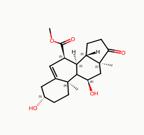 COC(=O)[C@@H]1C=C2C[C@@H](O)CC[C@]2(C)C2[C@@H]1[C@@H]1CCC(=O)[C@@]1(C)C[C@H]2O